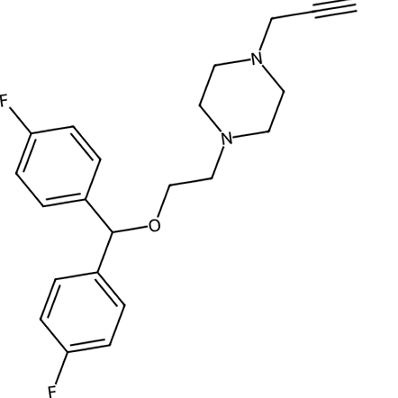 C#CCN1CCN(CCOC(c2ccc(F)cc2)c2ccc(F)cc2)CC1